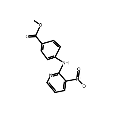 COC(=O)c1ccc(Nc2ncccc2[N+](=O)[O-])cc1